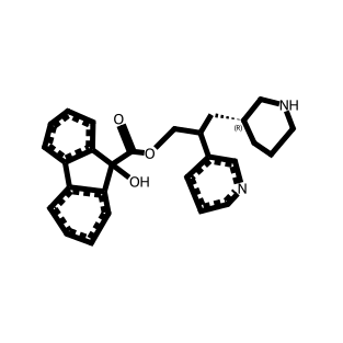 O=C(OCC(C[C@H]1CCCNC1)c1cccnc1)C1(O)c2ccccc2-c2ccccc21